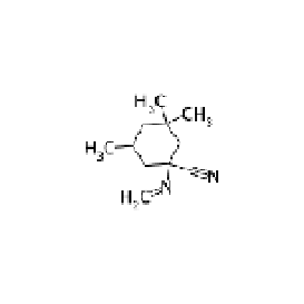 C=NC1(C#N)CC(C)CC(C)(C)C1